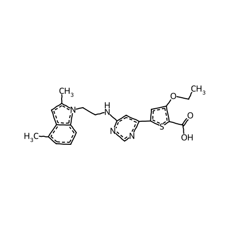 CCOc1cc(-c2cc(NCCn3c(C)cc4c(C)cccc43)ncn2)sc1C(=O)O